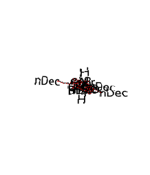 CCCCCCCCCCCCCCCCCCCCc1ccc([Si]2(c3cc(OCCCCCCCCCCCC)cc(OCCCCCCCCCCCC)c3)c3ccccc3-c3ccc(-c4c5nc(c(Br)c6ccc([nH]6)c(-c6ccc7c(c6)[Si](c6ccc(OCCCCCCCCCCCCCCCC)cc6)(c6cccc(CCCCCCCCCC)c6)c6ccccc6-7)c6nc(c(Br)c7ccc4[nH]7)C=C6)C=C5)cc32)cc1